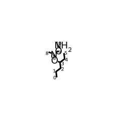 CCCC(CC)ON(C)ON